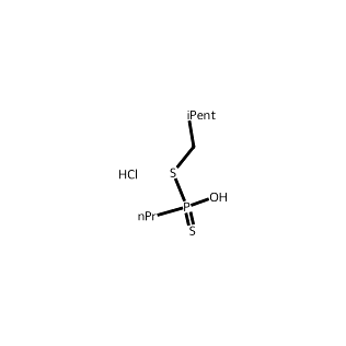 CCCC(C)CSP(O)(=S)CCC.Cl